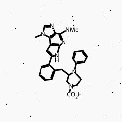 CNc1nc2[nH]c(-c3ccccc3CC3CN(C(=O)O)CCN3c3ccccc3)cc2c2c1ncn2C